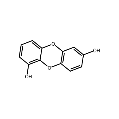 Oc1ccc2c(c1)Oc1cccc(O)c1O2